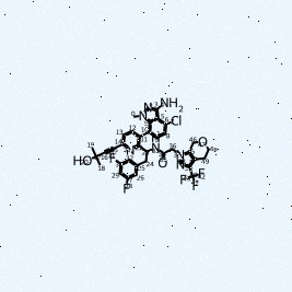 Cn1nc(N)c2c(Cl)ccc(-c3ccc(C#CC(C)(C)O)nc3C(Cc3cc(F)cc(F)c3)NC(=O)Cn3nc(C(F)(F)F)c4c3COCC4)c21